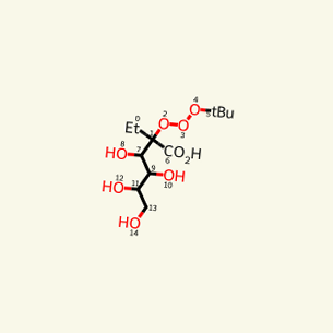 CCC(OOOC(C)(C)C)(C(=O)O)C(O)C(O)C(O)CO